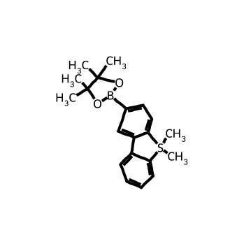 CC1(C)OB(c2ccc3c(c2)-c2ccccc2S3(C)C)OC1(C)C